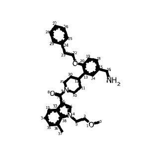 COCCn1cc(C(=O)N2CCC(c3cc(CN)ccc3OCCc3ccccc3)CC2)c2cccc(C)c21